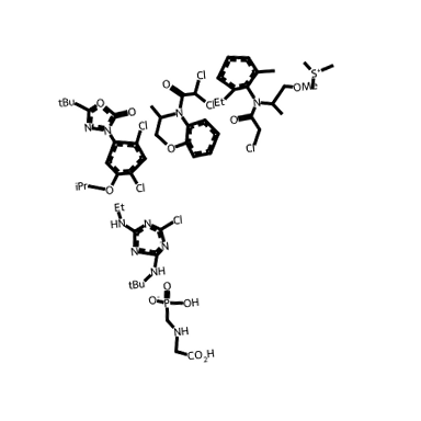 CC(C)Oc1cc(-n2nc(C(C)(C)C)oc2=O)c(Cl)cc1Cl.CC1COc2ccccc2N1C(=O)C(Cl)Cl.CCNc1nc(Cl)nc(NC(C)(C)C)n1.CCc1cccc(C)c1N(C(=O)CCl)C(C)COC.C[S+](C)C.O=C(O)CNCP(=O)([O-])O